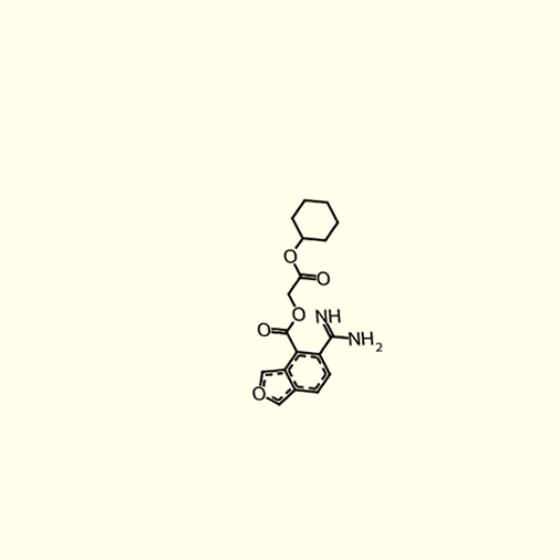 N=C(N)c1ccc2cocc2c1C(=O)OCC(=O)OC1CCCCC1